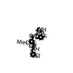 COc1cc(C(=O)N(CCN2CCNC2=O)Cc2ccc(F)cc2)cc2nc(NCc3cccc(Cl)c3)oc12